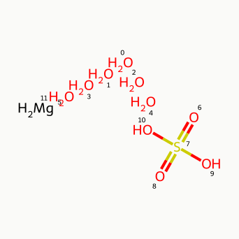 O.O.O.O.O.O.O=S(=O)(O)O.[MgH2]